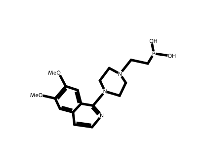 COc1cc2ccnc(N3CCN(CCP(O)O)CC3)c2cc1OC